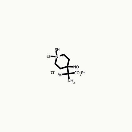 CCOC(=O)C(N)(C(C)=O)C1(N=O)CC[N+](S)(CC)CC1.[Cl-]